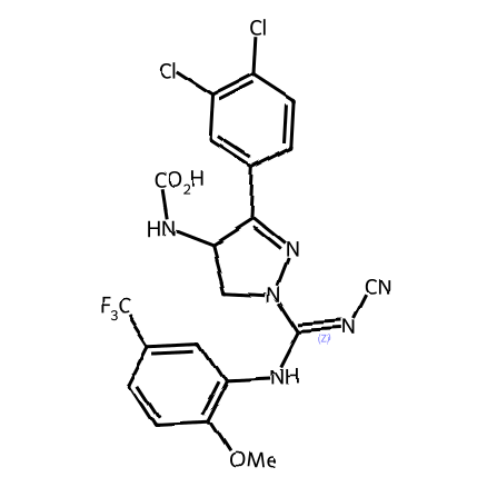 COc1ccc(C(F)(F)F)cc1N/C(=N/C#N)N1CC(NC(=O)O)C(c2ccc(Cl)c(Cl)c2)=N1